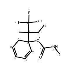 CCC(C)(C(F)(F)F)C1(OC(=O)NC)C=CC=CC1